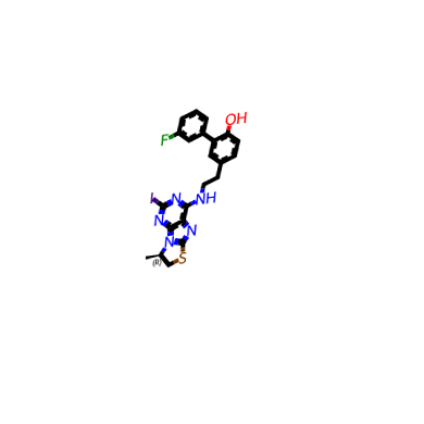 C[C@@H]1CSc2nc3c(NCCc4ccc(O)c(-c5cccc(F)c5)c4)nc(I)nc3n21